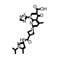 Cc1cc(N2CC(C(=O)Nc3cc(C)n(C(C)C)n3)C2)nc2c1c(=O)c(C(=O)O)cn2-c1ncns1